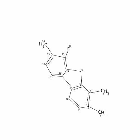 Cc1ccc2c(c1C)Cc1c-2ccc(C)c1F